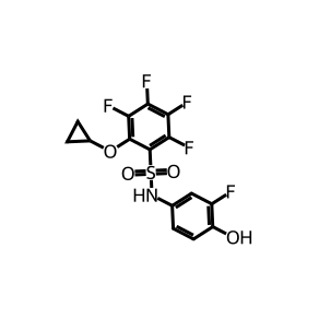 O=S(=O)(Nc1ccc(O)c(F)c1)c1c(F)c(F)c(F)c(F)c1OC1CC1